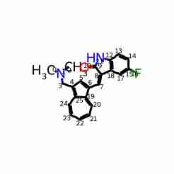 CN(C)Cc1cc(/C=C2\C(=O)Nc3ccc(F)cc32)c2cccccc1-2